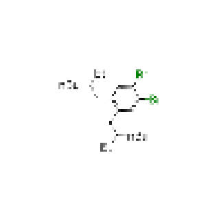 CCCCC(CC)Cc1cc(Br)c(Br)cc1CC(CC)CCCC